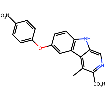 Cc1c(C(=O)O)ncc2[nH]c3ccc(Oc4ccc([N+](=O)[O-])cc4)cc3c12